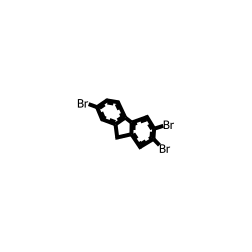 Brc1ccc2c(c1)Cc1cc(Br)c(Br)cc1-2